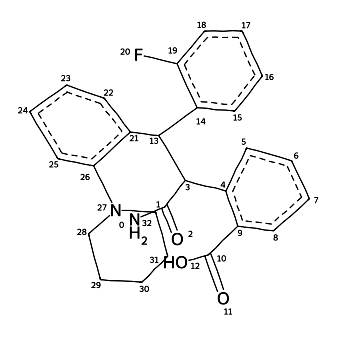 NC(=O)C(c1ccccc1C(=O)O)C(c1ccccc1F)c1ccccc1N1CCCCC1